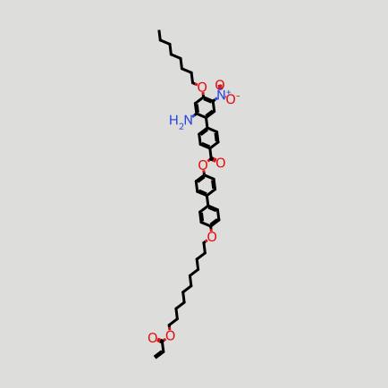 C=CC(=O)OCCCCCCCCCCCOc1ccc(-c2ccc(OC(=O)c3ccc(-c4cc([N+](=O)[O-])c(OCCCCCCCC)cc4N)cc3)cc2)cc1